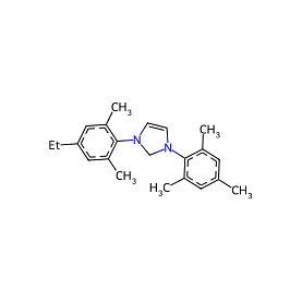 CCc1cc(C)c(N2C=CN(c3c(C)cc(C)cc3C)C2)c(C)c1